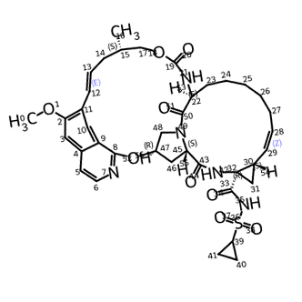 COc1cc2ccnc3c2cc1/C=C/C[C@H](C)COC(=O)N[C@H]1CCCCC/C=C\[C@@H]2C[C@@]2(C(=O)NS(=O)(=O)C2CC2)NC(=O)[C@@H]2C[C@H](CN2C1=O)O3